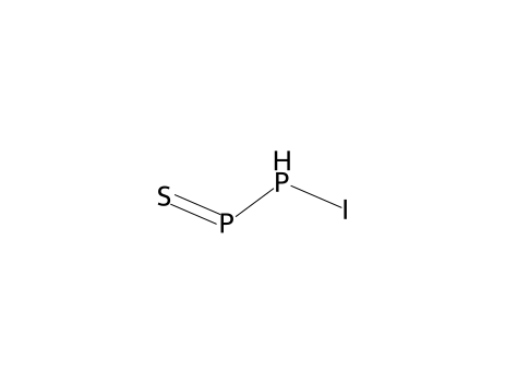 S=PPI